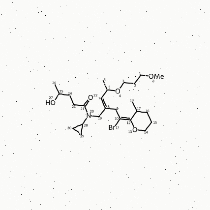 COCCCOC(C)/C=C(\C/C(Br)=C1/OCCCC1C)CN(C(=O)CCC(C)O)C1CC1